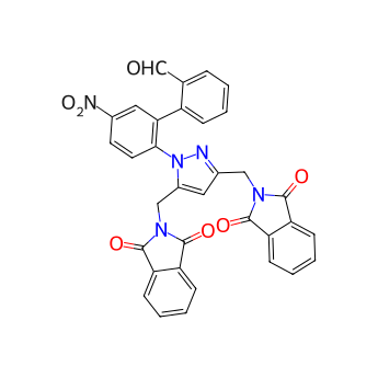 O=Cc1ccccc1-c1cc([N+](=O)[O-])ccc1-n1nc(CN2C(=O)c3ccccc3C2=O)cc1CN1C(=O)c2ccccc2C1=O